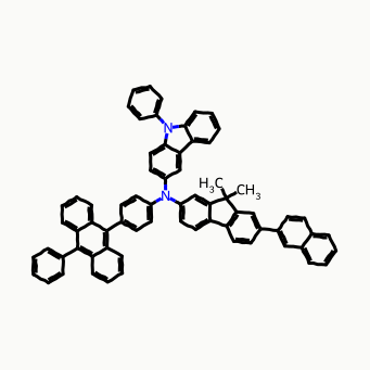 CC1(C)c2cc(-c3ccc4ccccc4c3)ccc2-c2ccc(N(c3ccc(-c4c5ccccc5c(-c5ccccc5)c5ccccc45)cc3)c3ccc4c(c3)c3ccccc3n4-c3ccccc3)cc21